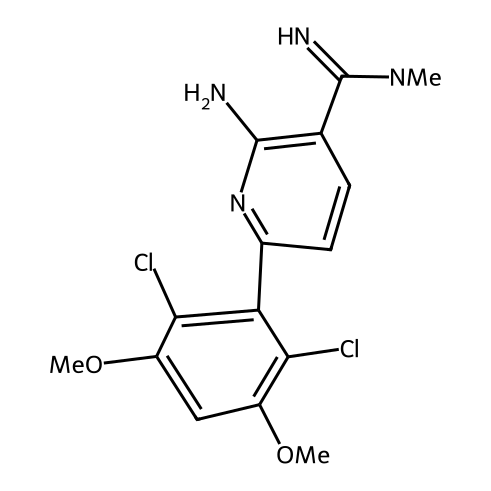 CNC(=N)c1ccc(-c2c(Cl)c(OC)cc(OC)c2Cl)nc1N